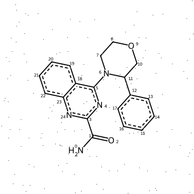 NC(=O)c1nc(N2CCOCC2c2ccccc2)c2ccccc2n1